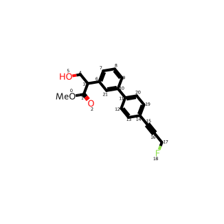 COC(=O)C(CO)c1cccc(-c2ccc(C#CCF)cc2)c1